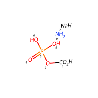 N.O=C(O)OP(=O)(O)O.[NaH]